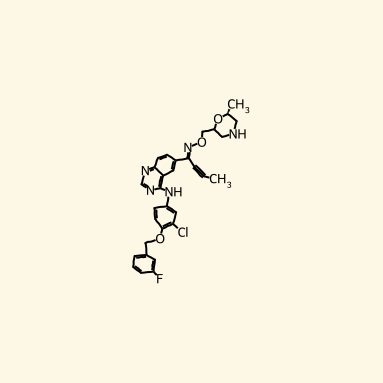 CC#C/C(=N\OCC1CNC[C@H](C)O1)c1ccc2ncnc(Nc3ccc(OCc4cccc(F)c4)c(Cl)c3)c2c1